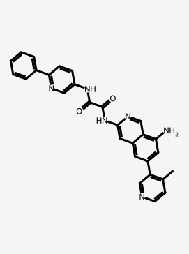 Cc1ccncc1-c1cc(N)c2cnc(NC(=O)C(=O)Nc3ccc(-c4ccccc4)nc3)cc2c1